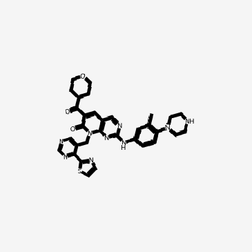 Cc1cc(Nc2ncc3cc(C(=O)C4CCOCC4)c(=O)n(Cc4cncnc4-c4nccs4)c3n2)ccc1N1CCNCC1